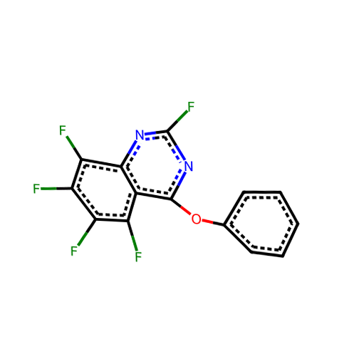 Fc1nc(Oc2ccccc2)c2c(F)c(F)c(F)c(F)c2n1